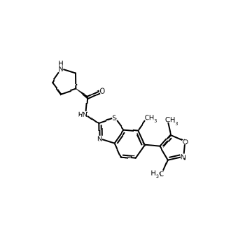 Cc1noc(C)c1-c1ccc2nc(NC(=O)[C@H]3CCNC3)sc2c1C